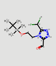 CC(C)(C)[Si](C)(C)OCCn1c(C=O)nnc1C(F)F